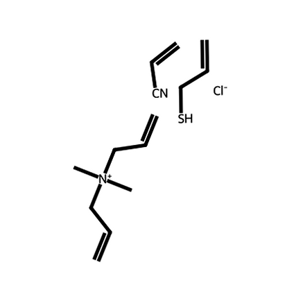 C=CC#N.C=CCS.C=CC[N+](C)(C)CC=C.[Cl-]